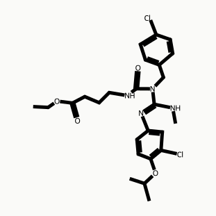 CCOC(=O)CCCNC(=O)N(Cc1ccc(Cl)cc1)/C(=N/c1ccc(OC(C)C)c(Cl)c1)NC